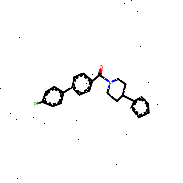 O=C(c1ccc(-c2ccc(F)cc2)cc1)N1CCC(c2ccccc2)CC1